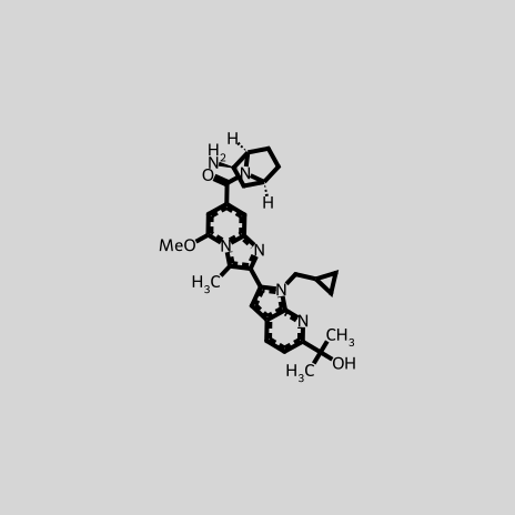 COc1cc(C(=O)N2[C@H]3CC[C@@H]2[C@H](N)C3)cc2nc(-c3cc4ccc(C(C)(C)O)nc4n3CC3CC3)c(C)n12